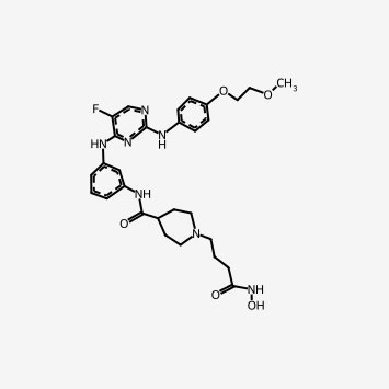 COCCOc1ccc(Nc2ncc(F)c(Nc3cccc(NC(=O)C4CCN(CCCC(=O)NO)CC4)c3)n2)cc1